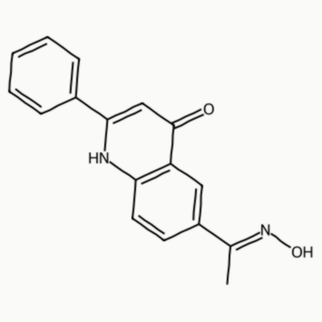 CC(=NO)c1ccc2[nH]c(-c3ccccc3)cc(=O)c2c1